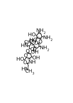 CNCC(=O)N[C@@H]1C(CO)O[C@H](OC2O[C@H]3CC(N)[C@@H](O[C@@H]4C(N)C[C@@H](N)C(O)[C@H]4O)OC3C(O)C2NC)C(O)C1O